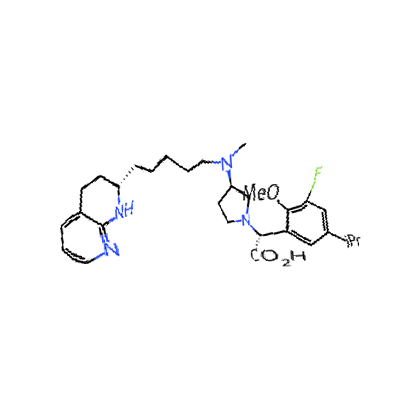 COc1c(F)cc(C(C)C)cc1[C@H](C(=O)O)N1CC[C@@H](N(C)CCCCC[C@H]2CCc3cccnc3N2)C1